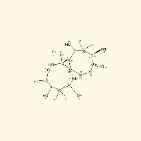 CCC1(C)NOC(=O)C(O)C(C)(C)C(O)N[C@]12NOC(=O)[C@H](O)C(C)(C)C(O)N2.[Pt]